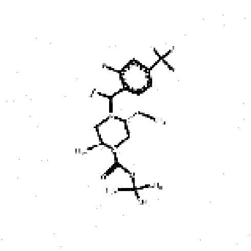 CC[C@@H]1CN(C(=O)OC(C)(C)C)[C@@H](C)CN1C(C)c1ccc(C(F)(F)F)cc1F